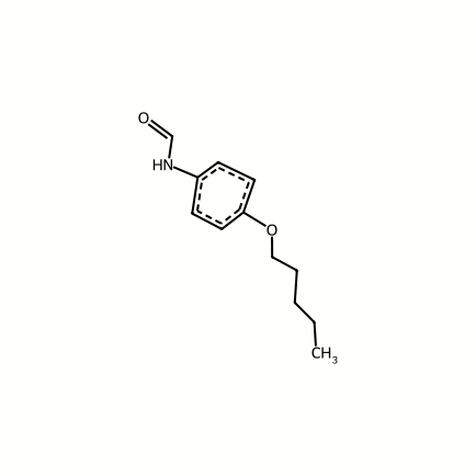 CCCCCOc1ccc(NC=O)cc1